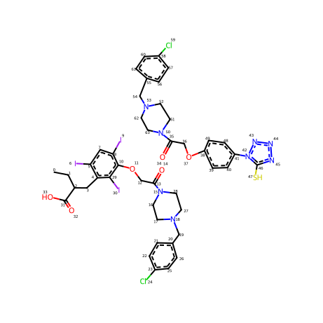 CCC(Cc1c(I)cc(I)c(OCC(=O)N2CCN(Cc3ccc(Cl)cc3)CC2)c1I)C(=O)O.O=C(COc1ccc(-n2nnnc2S)cc1)N1CCN(Cc2ccc(Cl)cc2)CC1